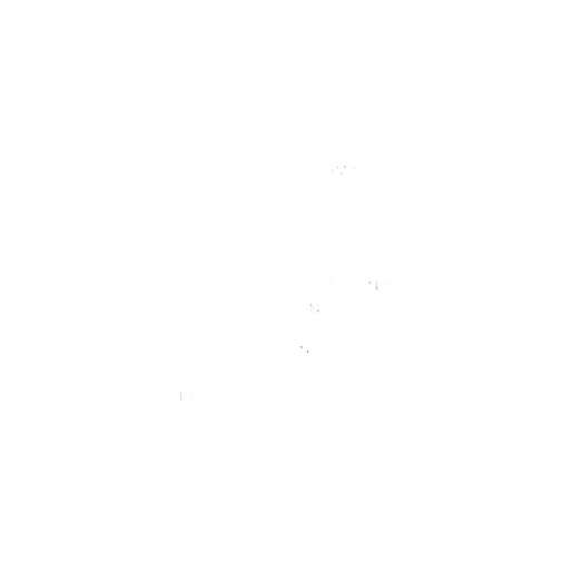 COc1ccc(CSc2nc(NCc3ccc(CO)cc3)ccc2[N+](=O)[O-])cc1